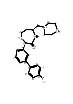 O=C1N[C@H](CN2CCOCC2)CCS[C@@H]1c1cccc(-c2ccc(Cl)cc2)c1